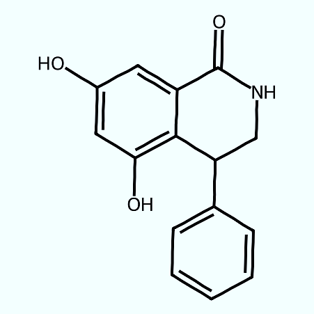 O=C1NCC(c2ccccc2)c2c(O)cc(O)cc21